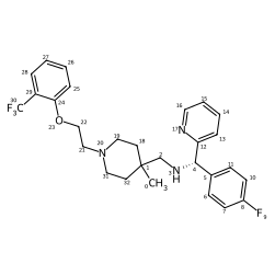 CC1(CN[C@@H](c2ccc(F)cc2)c2ccccn2)CCN(CCOc2ccccc2C(F)(F)F)CC1